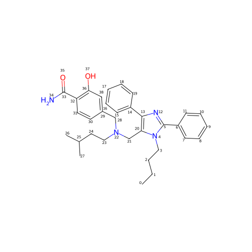 CCCCn1c(-c2ccccc2)nc(-c2ccccc2)c1CN(CCC(C)C)Cc1ccc(C(N)=O)c(O)c1